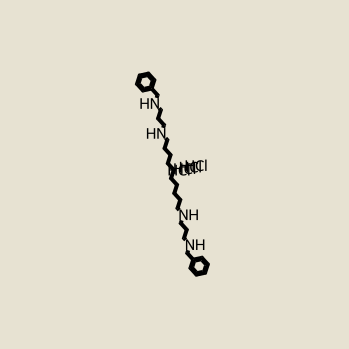 Cl.Cl.Cl.Cl.c1ccc(CNCCCNCCCCCCCCCCNCCCNCc2ccccc2)cc1